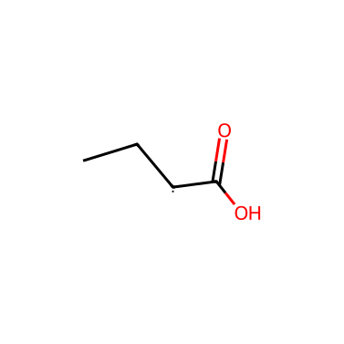 CC[CH]C(=O)O